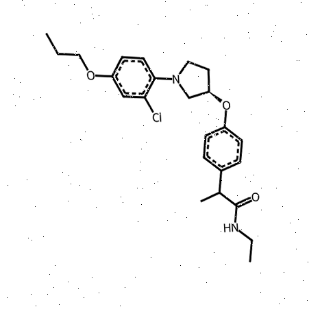 CCCOc1ccc(N2CC[C@@H](Oc3ccc(C(C)C(=O)NCC)cc3)C2)c(Cl)c1